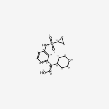 O=S(=O)(Nc1ccnc(/C(=N\O)C2CCOCC2)c1)C1CC1